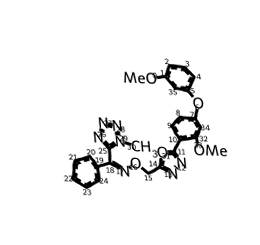 COc1cccc(Oc2ccc(-c3nnc(CO/N=C(/c4ccccc4)c4nnnn4C)o3)c(OC)c2)c1